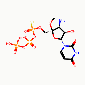 CO[C@]1(COP(=O)(S)OP(=O)(O)OP(=O)(O)O)O[C@@H](n2ccc(=O)[nH]c2=O)[C@H](O)[C@@H]1N